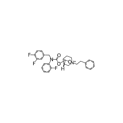 O=C(O[C@H]1C[N+]2(CCc3ccccc3)CCC1CC2)N(Cc1ccc(F)c(F)c1)c1ccccc1F